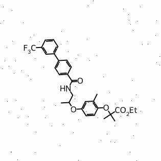 CCOC(=O)C(C)(C)Oc1ccc(OC(C)CNC(=O)c2ccc(-c3cccc(C(F)(F)F)c3)cc2)cc1C